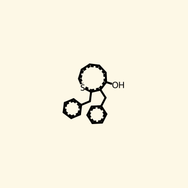 Oc1cccccsc(Cc2ccccc2)c1Cc1ccccc1